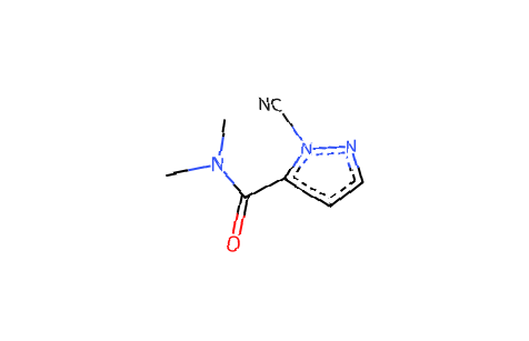 CN(C)C(=O)c1ccnn1C#N